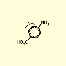 CN.Nc1ccc(C(=O)O)cc1